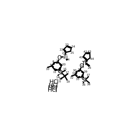 Cl.Cl.Cl.Cl.[CH2]=[Ti]([O]c1cc(C)cc([Si](C)(C)C(C)(C)C)c1)[C]1=CC=CC1.[CH2]=[Ti]([O]c1cc(C)cc([Si](C)(C)C)c1)[C]1=CC=CC1